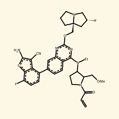 C=CC(=O)N1CCC(N(CC)c2nc(OC[C@@]34CCCN3C[C@H](F)C4)nc3cc(-c4ccc(F)c5sc(N)c(C#N)c45)ccc23)C1COC